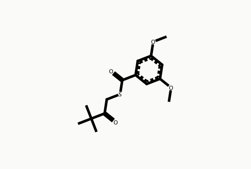 COc1cc(OC)cc(C(=O)SCC(=O)C(C)(C)C)c1